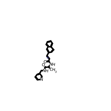 CC(NC(=O)/C=C/c1ccc2ccccc2c1)C(=O)NCc1cccnc1